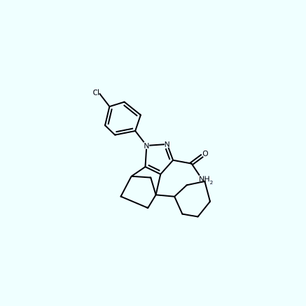 NC(=O)c1nn(-c2ccc(Cl)cc2)c2c1C1(C3CCCCC3)CCC2C1